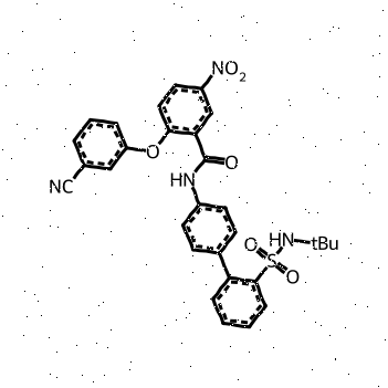 CC(C)(C)NS(=O)(=O)c1ccccc1-c1ccc(NC(=O)c2cc([N+](=O)[O-])ccc2Oc2cccc(C#N)c2)cc1